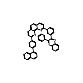 c1ccc(-c2nc3ccccc3nc2-c2cccc(-c3ccc4ccc5ccc(-c6ccc(-c7cccc8ccccc78)cc6)nc5c4n3)c2)cc1